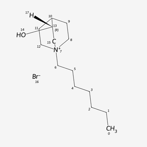 CCCCCCC[N+]12CCC(CC1)[C@@H](O)C2.[Br-]